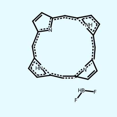 C1=Cc2cc3ccc(cc4nc(cc5ccc(cc1n2)[nH]5)C=C4)[nH]3.FBF